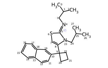 CC(C)C/N=c1\scc(C2(c3ccc4ccccc4c3)CCC2)n1CC(C)C